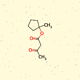 CC(=O)CC(=O)OC1(C)CCCC1